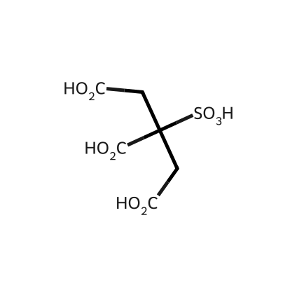 O=C(O)CC(CC(=O)O)(C(=O)O)S(=O)(=O)O